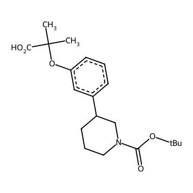 CC(C)(C)OC(=O)N1CCCC(c2cccc(OC(C)(C)C(=O)O)c2)C1